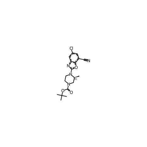 C[C@H]1CN(C(=O)OC(C)(C)C)CCN1c1nc2cc(Cl)cc(C#N)c2o1